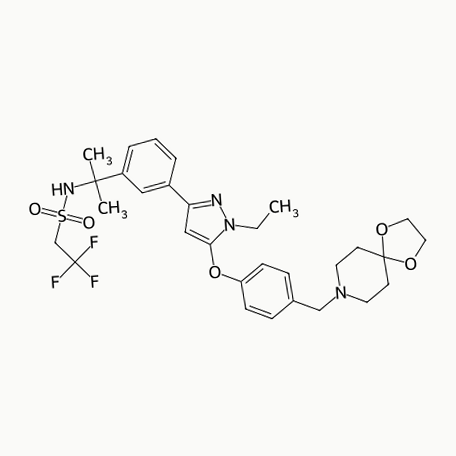 CCn1nc(-c2cccc(C(C)(C)NS(=O)(=O)CC(F)(F)F)c2)cc1Oc1ccc(CN2CCC3(CC2)OCCO3)cc1